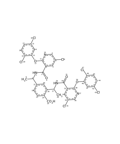 CC(NC(=O)c1cc(Cl)cnc1Oc1cc(Cl)ccc1Cl)c1ccc(C(=O)O)c(C(C)NC(=O)c2cc(Cl)cnc2Oc2cc(Cl)ccc2Cl)c1